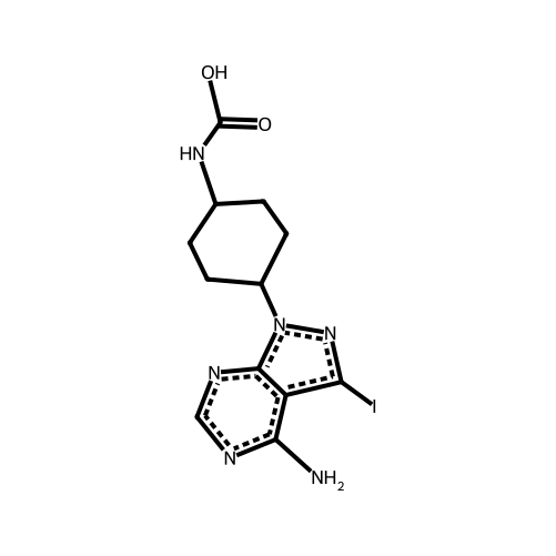 Nc1ncnc2c1c(I)nn2C1CCC(NC(=O)O)CC1